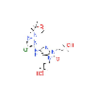 CC(C)(O)CCn1c(=O)n(CCC(C)(C)O)c2ncc(Nc3nc(N4CCOC(C)(C)C4(C)C)ncc3Cl)cc21